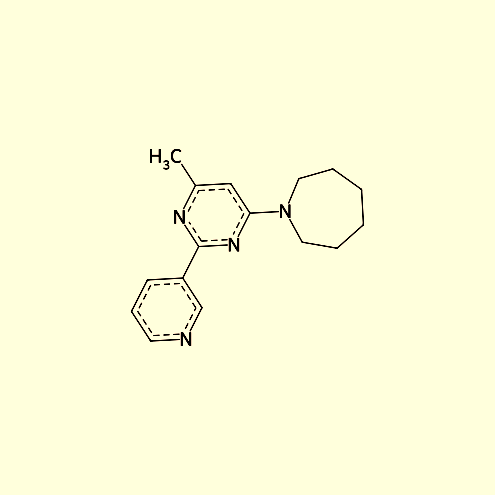 Cc1cc(N2CCCCCC2)nc(-c2cccnc2)n1